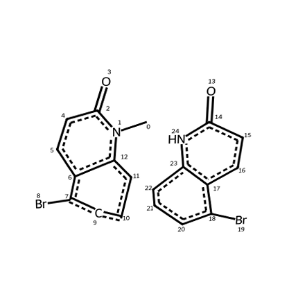 Cn1c(=O)ccc2c(Br)cccc21.O=c1ccc2c(Br)cccc2[nH]1